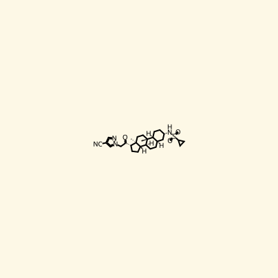 C[C@]12CC[C@]3(C)[C@@H](C(=O)Cn4cc(C#N)cn4)CC[C@H]3[C@@H]1CC[C@@H]1C[C@@H](NS(=O)(=O)C3CC3)CC[C@@H]12